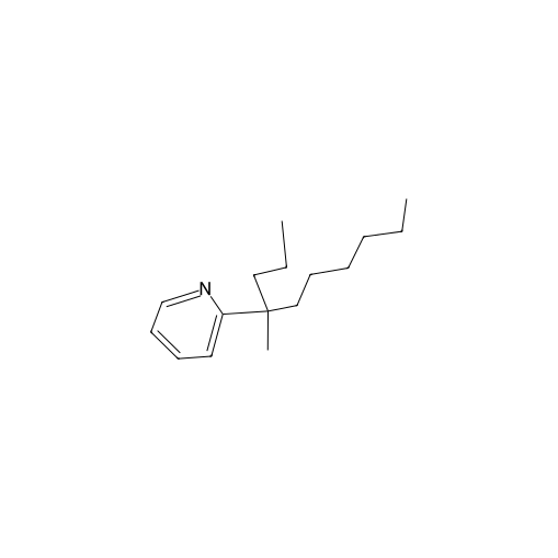 CCCCCCC(C)(CCC)c1ccccn1